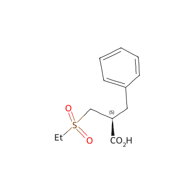 CCS(=O)(=O)C[C@@H](Cc1ccccc1)C(=O)O